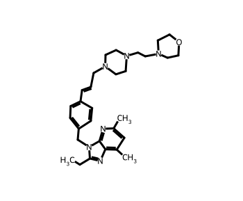 CCc1nc2c(C)cc(C)nc2n1Cc1ccc(C=CCN2CCN(CCN3CCOCC3)CC2)cc1